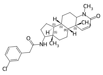 CN1C(=O)C=C[C@@]2(C)C1CC[C@@H]1[C@H]2CC[C@]2(C)C(NC(=O)Cc3cccc(Cl)c3)CC[C@@H]12